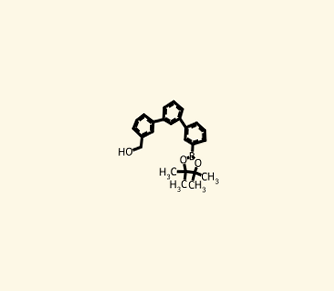 CC1(C)OB(c2cccc(-c3cccc(-c4cccc(CO)c4)c3)c2)OC1(C)C